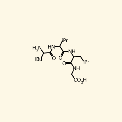 CCC(C)C(N)C(=O)NC(C(=O)NC(CC(C)C)C(=O)NCC(=O)O)C(C)C